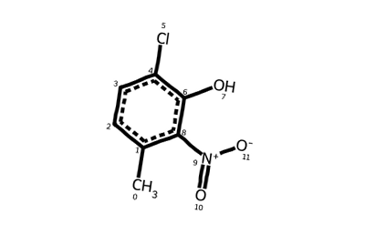 Cc1ccc(Cl)c(O)c1[N+](=O)[O-]